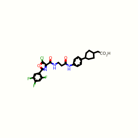 O=C(O)CC1CCC(c2ccc(NC(=O)CCNC(=O)c3nc(-c4cc(F)c(F)cc4F)oc3Cl)cc2)CC1